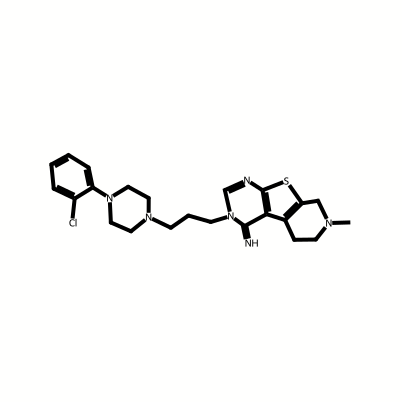 CN1CCc2c(sc3ncn(CCCN4CCN(c5ccccc5Cl)CC4)c(=N)c23)C1